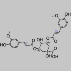 COc1cc(/C=C/C(=O)O[C@@H]2CC(O)(C(=O)O)C[C@@H](OC(=O)/C=C/c3ccc(O)c(OC)c3)C2O)ccc1O